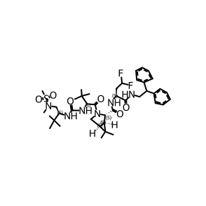 CN(C[C@@H](NC(=O)N[C@H](C(=O)N1C[C@H]2[C@@H]([C@H]1C(=O)N[C@@H](CC(F)F)C(=O)NCC(c1ccccc1)c1ccccc1)C2(C)C)C(C)(C)C)C(C)(C)C)S(C)(=O)=O